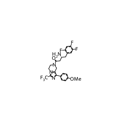 COc1ccc(-c2nc(C(F)(F)F)n3c2CN(C(=O)C[C@H](N)Cc2cc(F)c(F)cc2F)CC3)cc1